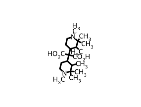 CC1C(C(C(=O)O)(C(=O)O)C2CCN(C)C(C)(C)C2C)CCN(C)C1(C)C